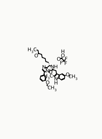 CCOc1cccc(-c2cnc([C@H](CCCCCC(=O)CC)NC(=O)Cc3c(C)[nH]c4ccc(OC)cc34)[nH]2)c1.O=C(O)C(F)(F)F